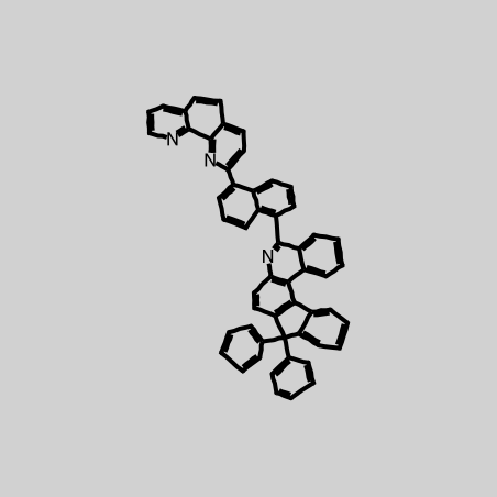 c1ccc(C2(c3ccccc3)c3ccccc3-c3c2ccc2nc(-c4cccc5c(-c6ccc7ccc8cccnc8c7n6)cccc45)c4ccccc4c32)cc1